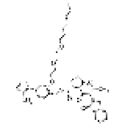 CC1=C(c2ccc(CNC(=O)[C@@H]3CCCC3C(=O)[C@H](C(C)C)N3Cc4ccccc4C3=O)c(OCCOCCOCCCCCCI)c2)CC=N1